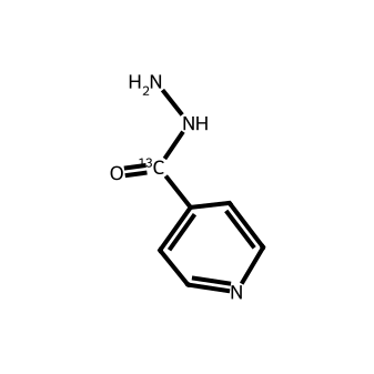 NN[13C](=O)c1ccncc1